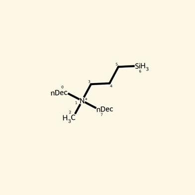 CCCCCCCCCC[N+](C)(CCC[SiH3])CCCCCCCCCC